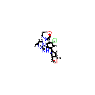 Cc1cc(N2CCCOC[C@@H]2c2ccc(C3CC4COCC4C3)cc2Cl)nc(N)n1